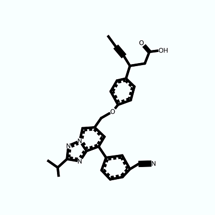 CC#CC(CC(=O)O)c1ccc(OCc2cc(-c3cccc(C#N)c3)c3nc(C(C)C)nn3c2)cc1